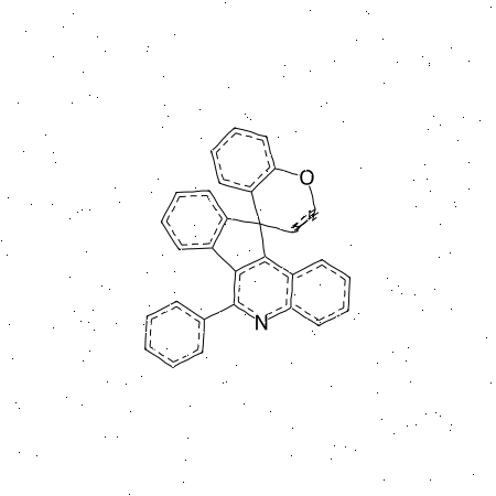 c1ccc(-c2nc3ccccc3c3c2-c2ccccc2C32c3ccccc3Oc3ccccc32)cc1